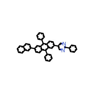 c1ccc(-c2ncc(-c3ccc4c(-c5ccccc5)c5cc(-c6ccc7ccccc7c6)ccc5c(-c5ccccc5)c4c3)cn2)cc1